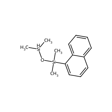 C[SiH](C)O[Si](C)(C)c1cccc2ccccc12